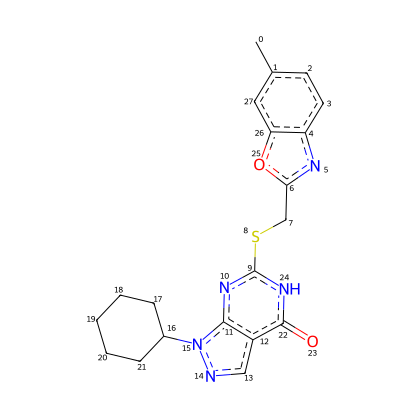 Cc1ccc2nc(CSc3nc4c(cnn4C4CCCCC4)c(=O)[nH]3)oc2c1